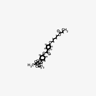 C=CC(=O)OCCCCOc1ccc(C(=O)Oc2ccc(O[Si](C)(C)C(C)(C)C)cc2)cc1